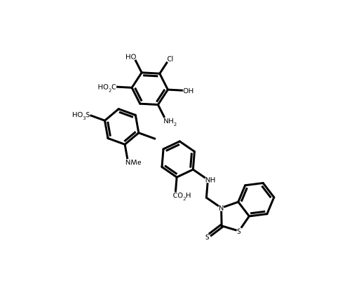 CNc1cc(S(=O)(=O)O)ccc1C.Nc1cc(C(=O)O)c(O)c(Cl)c1O.O=C(O)c1ccccc1NCn1c(=S)sc2ccccc21